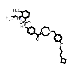 C=C/N=C1\C(=C)C=CC=C1S(=O)(=O)Nc1ccc(C(=O)N2CCCN(Cc3ccc(OCCCC4CCC4)cc3)CC2)cc1